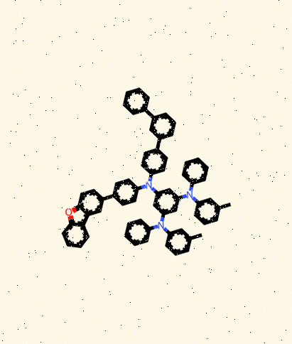 Cc1cccc(N(c2ccccc2)c2cc(N(c3ccc(-c4cccc(-c5ccccc5)c4)cc3)c3ccc(-c4ccc5oc6ccccc6c5c4)cc3)cc(N(c3ccccc3)c3cccc(C)c3)c2)c1